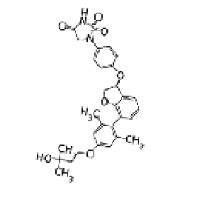 Cc1cc(OCCC(C)(C)O)cc(C)c1-c1cccc2c1OC[C@H]2Oc1ccc(N2CC(=O)NS2(=O)=O)cc1